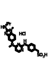 CC(C)Nc1nc2cc(N(C)c3ccnc(Nc4ccc(CS(=O)(=O)O)cc4)n3)ccc2n1C.Cl